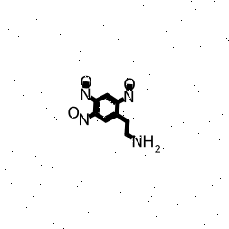 NCCc1cc(N=O)c(N=O)cc1N=O